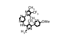 COc1ccc(-c2nn(C)c(Nc3cc(-n4nc(C)c(C(F)(F)F)c4C)ncn3)c2C)cn1